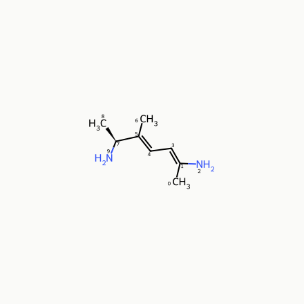 C/C(N)=C\C=C(/C)[C@H](C)N